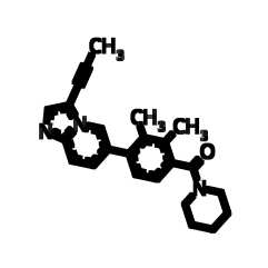 CC#Cc1cnc2ccc(-c3ccc(C(=O)N4CCCCC4)c(C)c3C)cn12